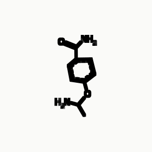 CC(N)Oc1ccc(C(N)=O)cc1